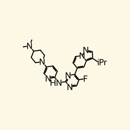 CC(C)c1cnn2ccc(-c3nc(Nc4ccc(N5CCC(N(C)C)CC5)cn4)ncc3F)cc12